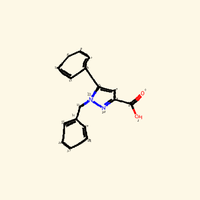 O=C(O)c1cc(C2=CCCC=C2)n(CC2=CCCC=C2)n1